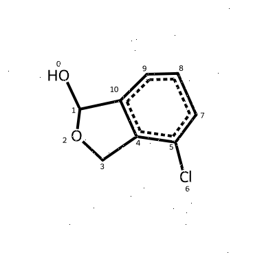 OC1OCc2c(Cl)cccc21